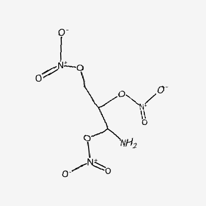 NC(O[N+](=O)[O-])C(CO[N+](=O)[O-])O[N+](=O)[O-]